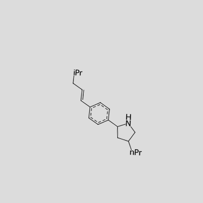 CCCC1CNC(c2ccc(/C=C/CC(C)C)cc2)C1